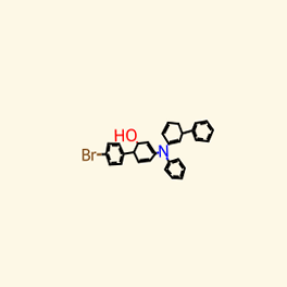 OC1C=C(N(C2=CC(c3ccccc3)CC=C2)c2ccccc2)C=CC1c1ccc(Br)cc1